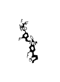 Cc1ccc(-c2cc3c(cc2F)n(Cc2ccc(-c4nnc(C(F)F)o4)cc2F)c(=O)n3C)o1